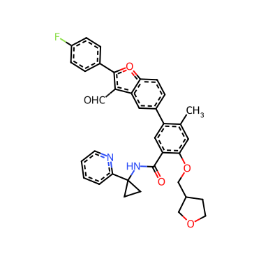 Cc1cc(OCC2CCOC2)c(C(=O)NC2(c3ccccn3)CC2)cc1-c1ccc2oc(-c3ccc(F)cc3)c(C=O)c2c1